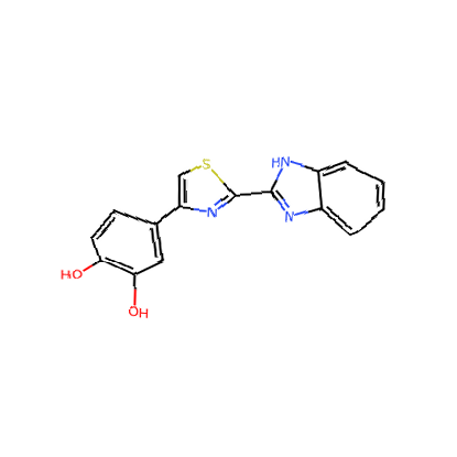 Oc1ccc(-c2csc(-c3nc4ccccc4[nH]3)n2)cc1O